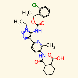 CCn1nnc(-c2ccc(NC(=O)C3CCCCC3C(=O)O)c(C)n2)c1NC(=O)O[C@H](C)c1ccccc1Cl